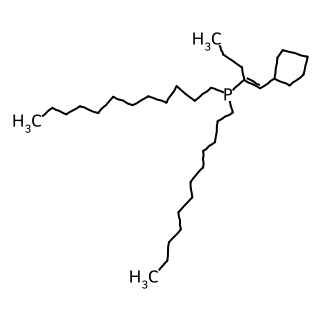 CCCCCCCCCCCCP(CCCCCCCCCCCC)/C(=C/C1CCCCC1)CCC